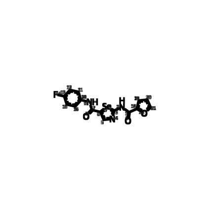 O=C(Nc1ncc(C(=O)Nc2ccc(F)cc2)[se]1)c1ccco1